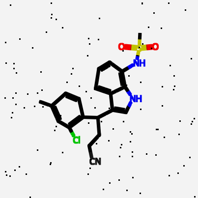 Cc1ccc(C(CCC#N)c2c[nH]c3c(NS(C)(=O)=O)cccc23)c(Cl)c1